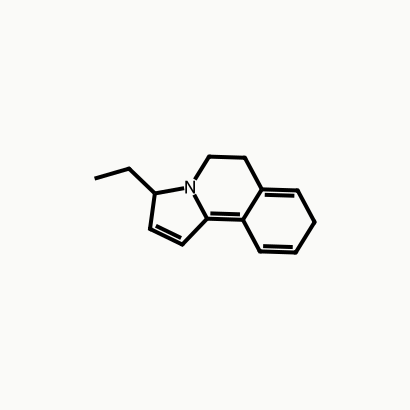 CCC1C=CC2=C3C=CCC=C3CCN21